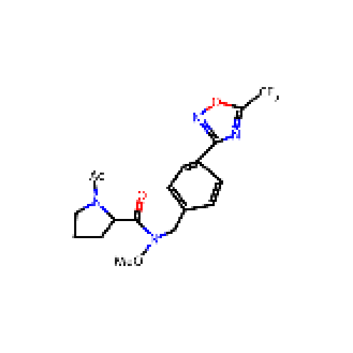 CON(Cc1ccc(-c2noc(C(F)(F)F)n2)cc1)C(=O)C1CCCN1C(C)=O